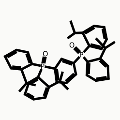 CC(C)c1ccccc1P(=O)(c1cccc(P(=O)(c2ccccc2C(C)C)c2ccccc2C(C)C)c1)c1ccccc1C(C)C